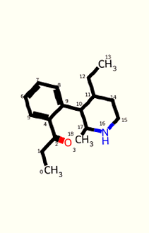 CCC(=O)c1ccccc1C1C(CC)CCNC1C